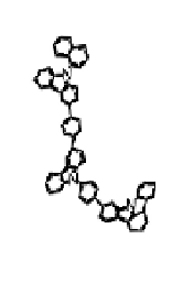 c1ccc2c(-n3c4ccccc4c4cc(-c5ccc(-c6ccc7c(c6)c6ccccc6n7-c6ccc(-c7ccc8c9cccc%10c%11ccccc%11n(c8c7)c%109)cc6)cc5)ccc43)cccc2c1